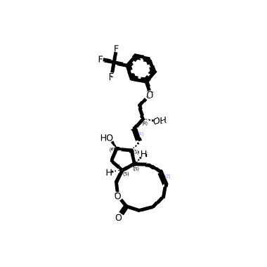 O=C1CCC/C=C\C[C@H]2[C@@H](CO1)C[C@@H](O)[C@@H]2/C=C/[C@@H](O)COc1cccc(C(F)(F)F)c1